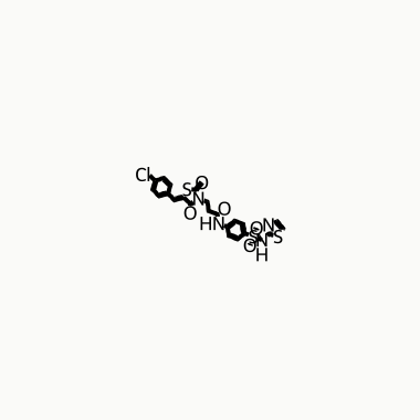 O=C(CCN1C(=O)S/C(=C\c2ccc(Cl)cc2)C1=O)Nc1ccc(S(=O)(=O)Nc2nccs2)cc1